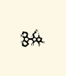 N#C/C=C1/C(=C2c3cccnc3-c3ncccc32)C(=O)c2c(F)c(F)cc(F)c21